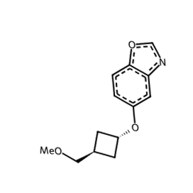 COC[C@H]1C[C@H](Oc2ccc3ocnc3c2)C1